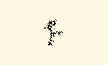 C=C1NC(=O)C=CN1[C@@H]1N[C@](F)(COP(=O)(OCOC(=O)OC)OCOC(=O)OC(C)C)[C@@H](O)[C@@]1(C)O